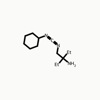 CCC(N)(CC)CN=C=NC1CCCCC1